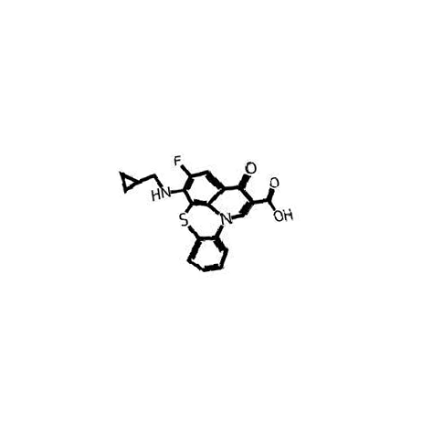 O=C(O)c1cn2c3c(c(NCC4CC4)c(F)cc3c1=O)Sc1ccccc1-2